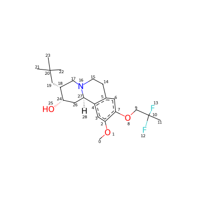 COc1cc2c(cc1OCC(C)(F)F)CCN1C[C@@H](CC(C)(C)C)[C@@H](O)C[C@H]21